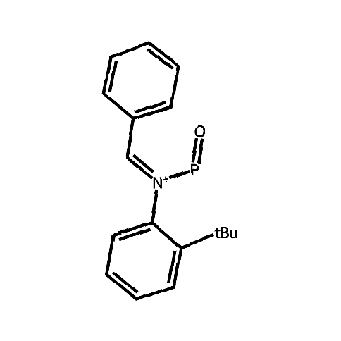 CC(C)(C)c1ccccc1[N+](=Cc1ccccc1)P=O